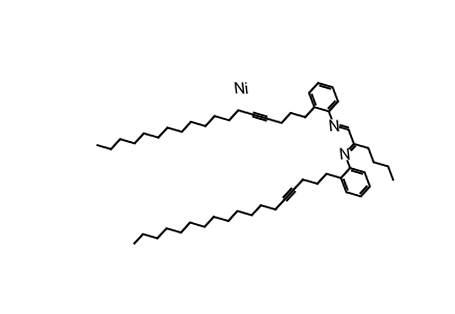 CCCCCCCCCCCCCC#CCCCc1ccccc1N=CC(CCCC)=Nc1ccccc1CCCC#CCCCCCCCCCCCCC.[Ni]